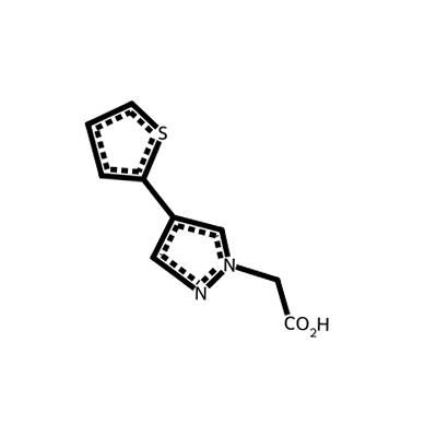 O=C(O)Cn1cc(-c2cccs2)cn1